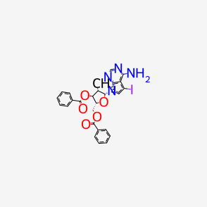 C[C@H]1[C@H](OC(=O)c2ccccc2)[C@@H](COC(=O)c2ccccc2)O[C@H]1n1cc(I)c2c(N)ncnc21